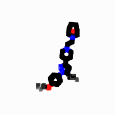 Cc1cc(C2CCN(CCN3CC4CCC(C3)O4)CC2)nn1-c1ccc(OC(F)(F)F)cc1